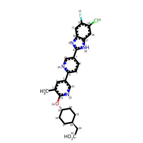 Cc1cc(-c2ccc(-c3nc4cc(F)c(Cl)cc4[nH]3)cn2)cnc1O[C@H]1CC[C@H](CC(=O)O)CC1